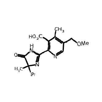 COCc1cnc(C2=NC(C)(C(C)C)C(=O)N2)c(C(=O)O)c1C